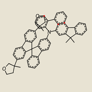 CC1(c2ccc3c(c2)C2(c4ccccc4-c4ccc(N(c5ccc6c(c5)C(C)(C)c5ccccc5-6)c5ccccc5-c5ccccc5)cc42)c2cc(C4(C)CCOC4)ccc2-3)CCOC1